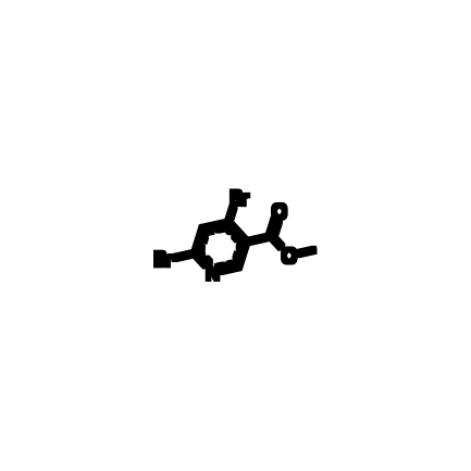 COC(=O)c1cnc(Br)cc1Br